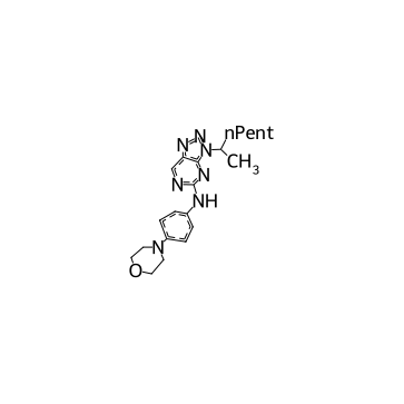 CCCCCC(C)n1nnc2cnc(Nc3ccc(N4CCOCC4)cc3)nc21